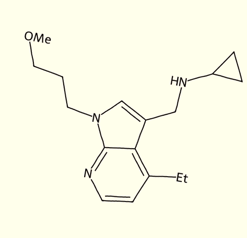 CCc1ccnc2c1c(CNC1CC1)cn2CCCOC